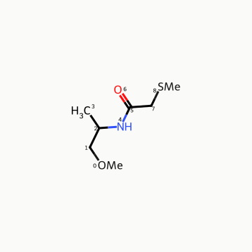 COCC(C)NC(=O)CSC